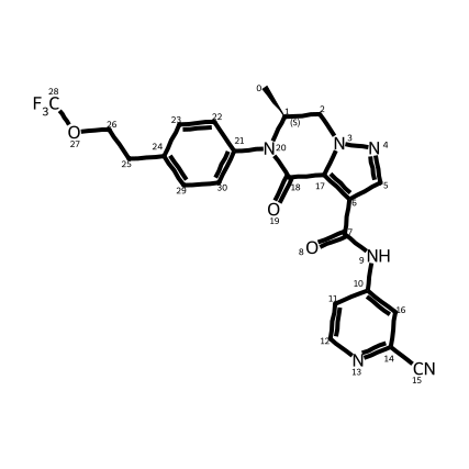 C[C@H]1Cn2ncc(C(=O)Nc3ccnc(C#N)c3)c2C(=O)N1c1ccc(CCOC(F)(F)F)cc1